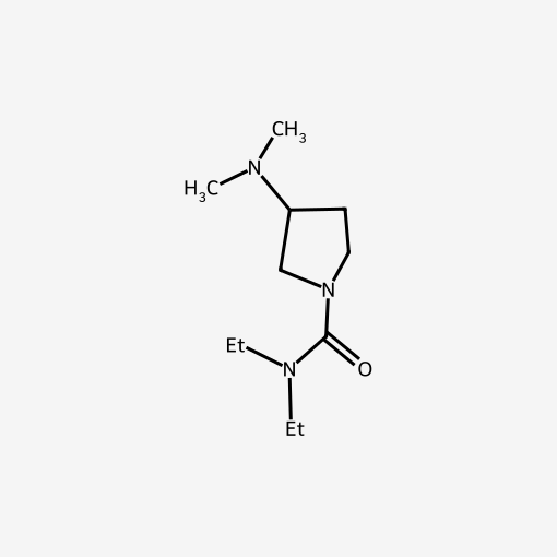 CCN(CC)C(=O)N1CCC(N(C)C)C1